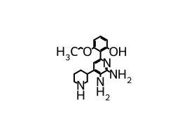 CCOc1cccc(O)c1-c1cc(C2CCCNC2)c(N)c(N)n1